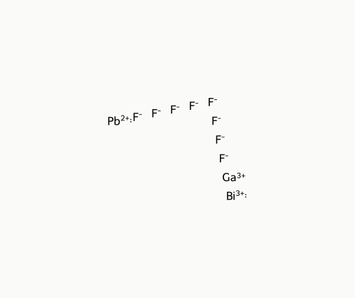 [Bi+3].[F-].[F-].[F-].[F-].[F-].[F-].[F-].[F-].[Ga+3].[Pb+2]